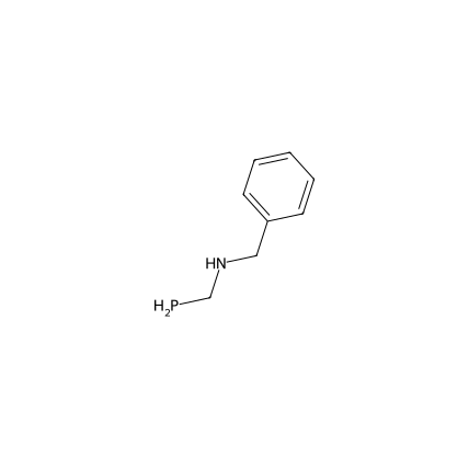 PCNCc1ccccc1